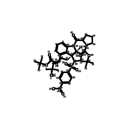 CC(C)(O)/C=C/c1cccc2c1[C@@]1(CCNC(=O)OC(C)(C)C)[C@H](OCN1S(=O)(=O)c1ccc([N+](=O)[O-])cc1)N2C(=O)C1CCCN1C(=O)OC(C)(C)C